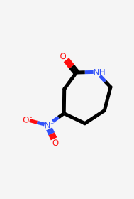 O=C1CC([N+](=O)[O-])CCCN1